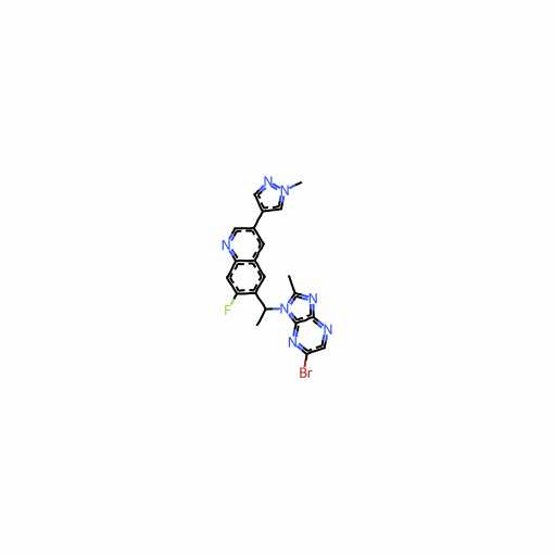 Cc1nc2ncc(Br)nc2n1C(C)c1cc2cc(-c3cnn(C)c3)cnc2cc1F